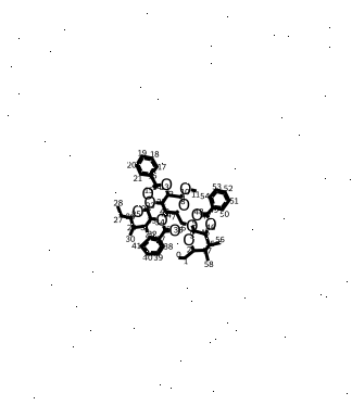 CCC1OC(OCC2OC(OC)C(OC(=O)c3ccccc3)C(OC3OC(CC)C(C)C(C)C3OC(=O)c3ccccc3)C2C)C(OC(=O)c2ccccc2)C(C)C1C